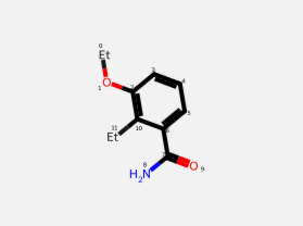 CCOc1cccc(C(N)=O)c1CC